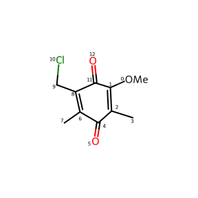 COC1=C(C)C(=O)C(C)=C(CCl)C1=O